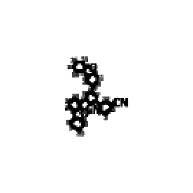 N#Cc1cccc(-c2cc(-c3ccc4oc5ccccc5c4c3)cc(-c3cccc4c3oc3ccccc34)c2C#N)c1